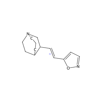 C(=C\C1CN2CCCC1CC2)/c1ccno1